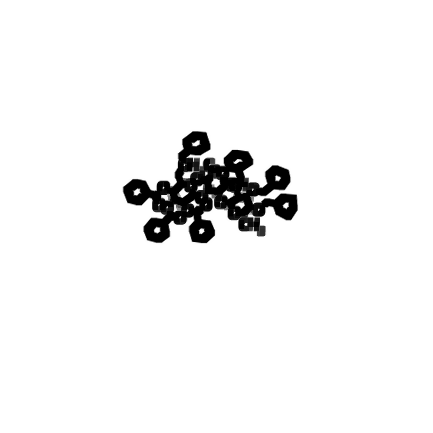 COC(=O)[C@H](O[C@@H]1O[C@H](COCc2ccccc2)[C@H](OC(=O)c2ccccc2)[C@H](OC(=O)c2ccccc2)[C@H]1OC(=O)c1ccccc1)[C@@H](O[C@@H]1O[C@@H](C)[C@@H](OCc2ccccc2)[C@@H](OCc2ccccc2)[C@@H]1OCc1ccccc1)C(=O)O